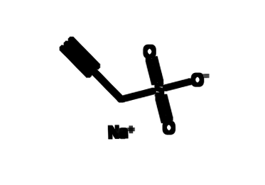 C#CCS(=O)(=O)[O-].[Na+]